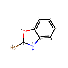 S[C]1Nc2ccccc2O1